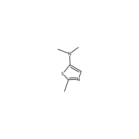 Cc1ncc(N(C)C)s1